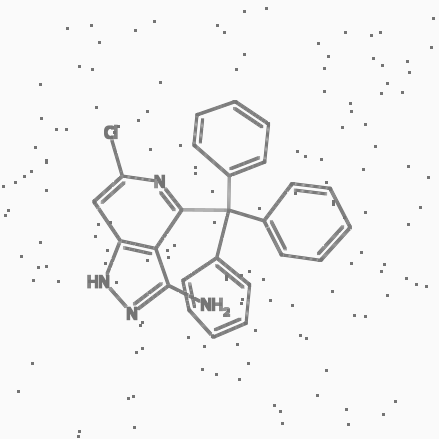 Nc1n[nH]c2cc(Cl)nc(C(c3ccccc3)(c3ccccc3)c3ccccc3)c12